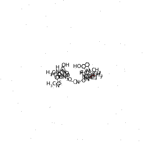 Cc1ncsc1-c1ccc([C@H](C)NC(=O)[C@@H]2C[C@@H](O)CN2C(=O)[C@@H](NC(=O)COCC2CCN(CCOc3nc(N4CC5CCC(C5)C4)c4cnc(-c5cc(O)cc6cccc(C#C[Si](C(C)C)(C(C)C)C(C)C)c56)c(F)c4n3)CC2)C(C)(C)C)cc1